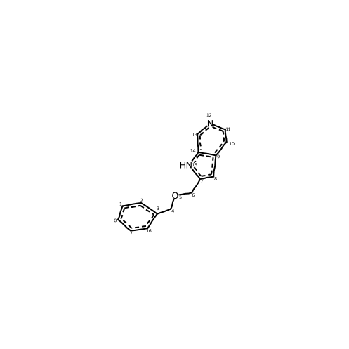 c1ccc(COCc2cc3ccncc3[nH]2)cc1